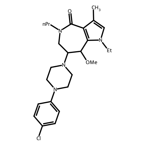 CCCN1CC(N2CCN(c3ccc(Cl)cc3)CC2)C(OC)c2c(c(C)cn2CC)C1=O